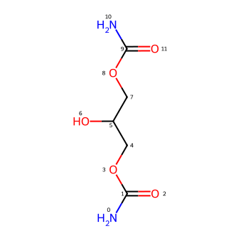 NC(=O)OCC(O)COC(N)=O